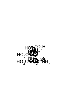 CC[C@H](C)[C@H](N)C(=O)O.N[C@@H](CO)C(=O)O.N[C@@H](Cc1ccccc1)C(=O)O.N[C@@H](Cc1ccccc1)C(=O)O